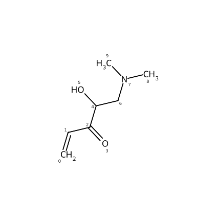 C=CC(=O)C(O)CN(C)C